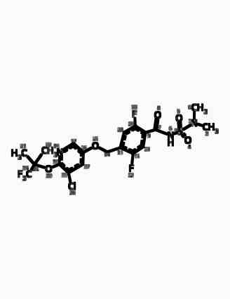 CN(C)S(=O)(=O)NC(=O)c1cc(F)c(COc2cnc(OC(C)(C)C(F)(F)F)c(Cl)c2)cc1F